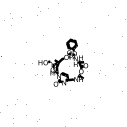 CC1Nc2ccn(c(=O)n2)[C@H]2O[C@H](CO)C(C)(COP(=O)(Oc3ccccc3)N[C@@H](C)C(=O)O1)C2F